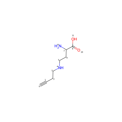 C#CCCNCCC(N)C(=O)O